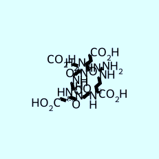 N=C(N)NCCC[C@H](NC(=O)CNC(=O)[C@H](CCC(=O)O)NC(=O)CNC(=O)[C@H](CCC(=O)O)NC(=O)[C@@H](N)CCC(=O)O)C(=O)O